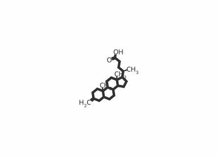 C=C1CC[C@@]2(C)C(CCC3C2CC[C@@]2(C)C3CCC2[C@H](C)CCC(=O)O)C1